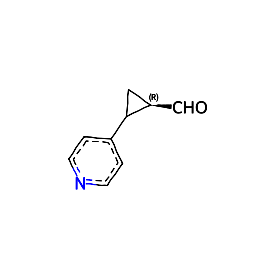 O=C[C@@H]1CC1c1ccncc1